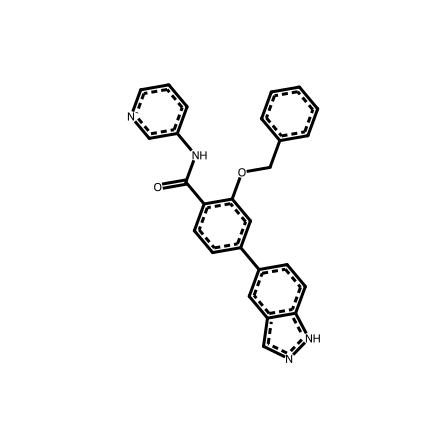 O=C(Nc1cccnc1)c1ccc(-c2ccc3[nH]ncc3c2)cc1OCc1ccccc1